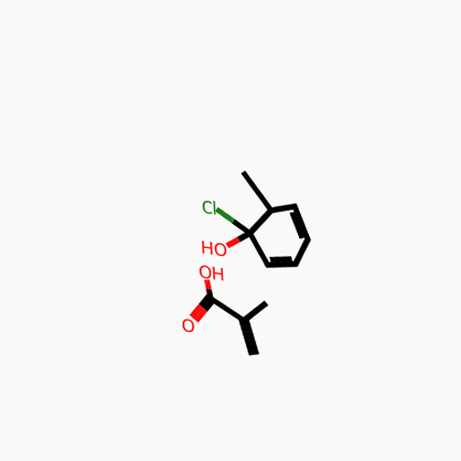 C=C(C)C(=O)O.CC1C=CC=CC1(O)Cl